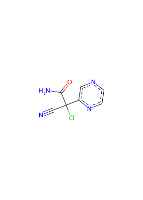 N#CC(Cl)(C(N)=O)c1cnccn1